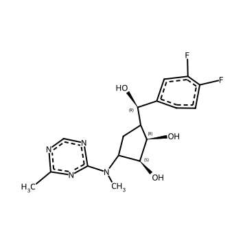 Cc1ncnc(N(C)C2CC([C@@H](O)c3ccc(F)c(F)c3)[C@@H](O)[C@H]2O)n1